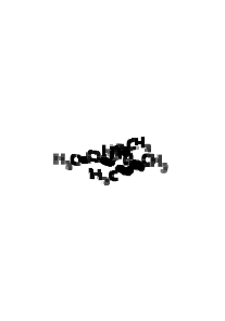 CC(=O)O.CCCCCC.CCOCC